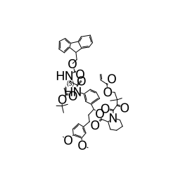 C=CC(=O)OCC(C)(C)C(=O)C(=O)N1CCCCC1C(=O)OC(CCc1ccc(OC)c(OC)c1)c1cccc(NC(=O)[C@H](CC(=O)OC(C)(C)C)NC(=O)OCC2c3ccccc3-c3ccccc32)c1